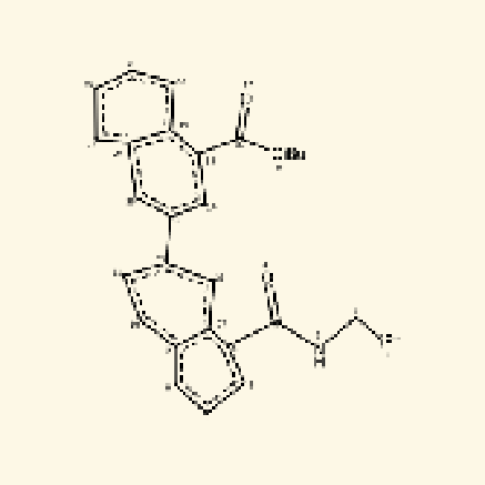 CC(C)CNC(=O)c1cccc2ccc(-c3cc(C(=O)OCC(C)C)c4ccccc4c3)cc12